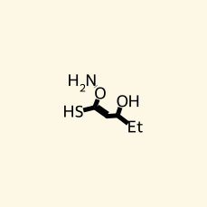 CCC(O)/C=C(/S)ON